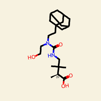 C[C@H](C(=O)O)C(C)(C)CNC(=O)N(CCO)CCC12CC3CC(CC(C3)C1)C2